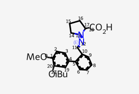 COc1ccc(-c2ccccc2/C=N/N2CCCC2C(=O)O)cc1OCC(C)C